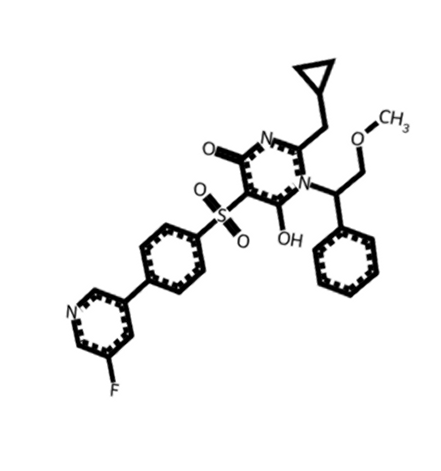 COCC(c1ccccc1)n1c(CC2CC2)nc(=O)c(S(=O)(=O)c2ccc(-c3cncc(F)c3)cc2)c1O